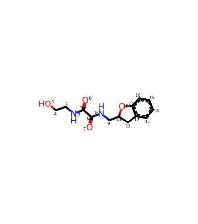 O=C(NCCO)C(=O)NCC1Cc2ccccc2O1